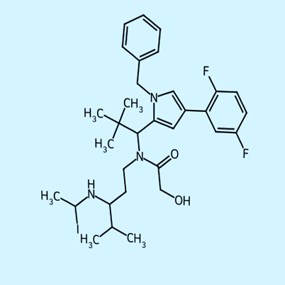 CC(I)NC(CCN(C(=O)CO)C(c1cc(-c2cc(F)ccc2F)cn1Cc1ccccc1)C(C)(C)C)C(C)C